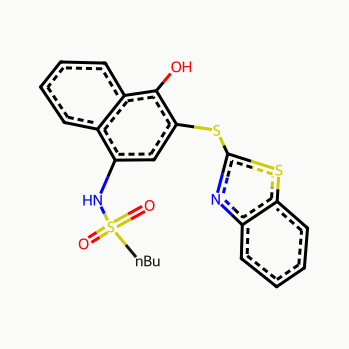 CCCCS(=O)(=O)Nc1cc(Sc2nc3ccccc3s2)c(O)c2ccccc12